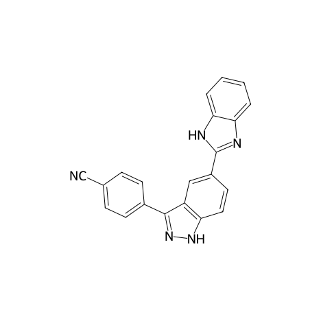 N#Cc1ccc(-c2n[nH]c3ccc(-c4nc5ccccc5[nH]4)cc23)cc1